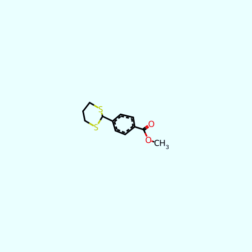 COC(=O)c1ccc(C2SCCCS2)cc1